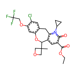 CCOC(=O)c1cc2c(n(C3CC3)c1=O)Cc1cc(Cl)c(OCC(F)(F)F)cc1OC2C1(C)COC1